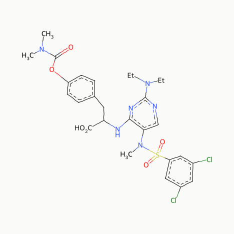 CCN(CC)c1ncc(N(C)S(=O)(=O)c2cc(Cl)cc(Cl)c2)c(NC(Cc2ccc(OC(=O)N(C)C)cc2)C(=O)O)n1